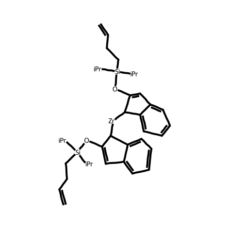 C=CCC[Si](OC1=Cc2ccccc2[CH]1[Zr][CH]1C(O[Si](CCC=C)(C(C)C)C(C)C)=Cc2ccccc21)(C(C)C)C(C)C